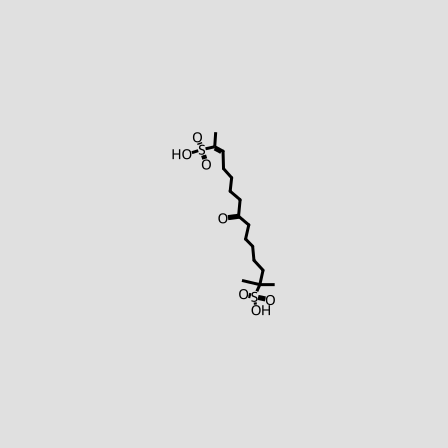 C/C(=C/CCCCC(=O)CCCCCC(C)(C)S(=O)(=O)O)S(=O)(=O)O